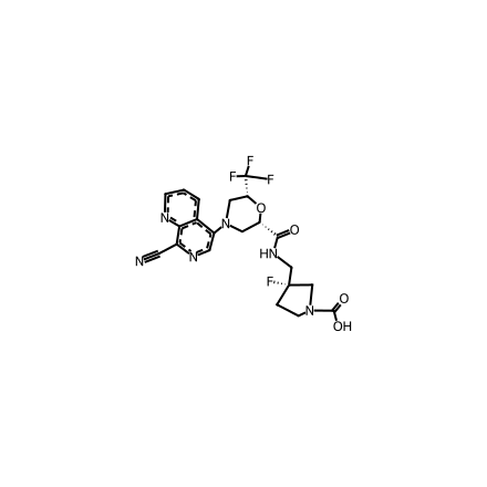 N#Cc1ncc(N2C[C@@H](C(=O)NC[C@]3(F)CCN(C(=O)O)C3)O[C@@H](C(F)(F)F)C2)c2cccnc12